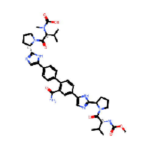 COC(=O)N[C@H](C(=O)N1CCCC1c1ncc(-c2ccc(-c3ccc(-c4cnc([C@@H]5CCCN5C(=O)[C@H](C(C)C)N(C)C(=O)O)[nH]4)cc3)c(C(N)=O)c2)[nH]1)C(C)C